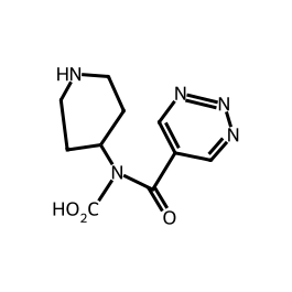 O=C(O)N(C(=O)c1cnnnc1)C1CCNCC1